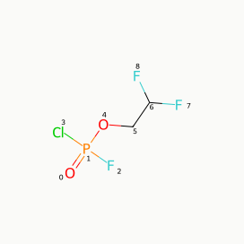 O=P(F)(Cl)OCC(F)F